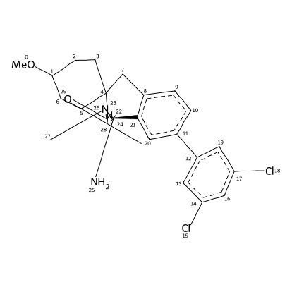 COC1CCC2(CC1)Cc1ccc(-c3cc(Cl)cc(Cl)c3)cc1[C@@]21N=C(N)N(C)C1=O